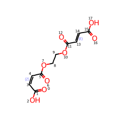 O=C(O)/C=C\C(=O)OCCOC(=O)/C=C/C(=O)O